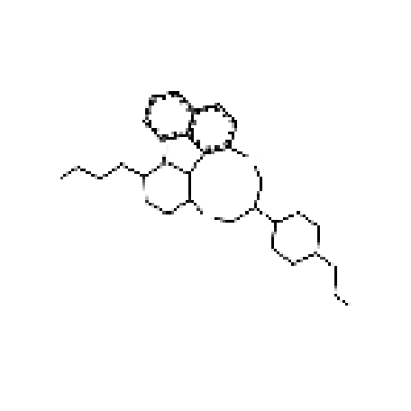 CCCCC1CCC2OCC(C3CCC(CCC)CC3)COc3ccc4ccccc4c3C2C1C